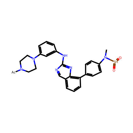 CC(=O)N1CCN(c2cccc(Nc3ncc4cccc(-c5ccc(N(C)[SH](=O)=O)cc5)c4n3)c2)CC1